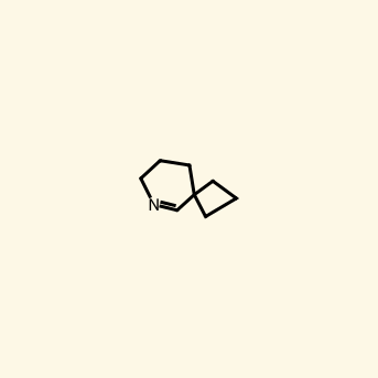 C1=NCCCC12CCC2